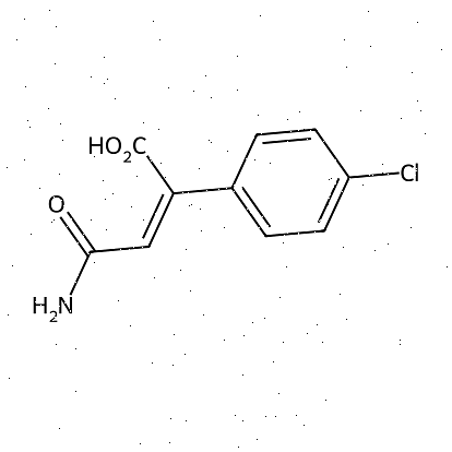 NC(=O)C=C(C(=O)O)c1ccc(Cl)cc1